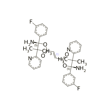 CC(C)(c1ccccn1)[C@@](N)(OC(=O)/C=C/C(=O)O[C@@](N)(c1cccc(F)c1)C(C)(C)c1ccccn1)c1cccc(F)c1